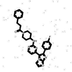 O=C(CCc1ccccc1)N1CCC(Nc2nccc(-c3c(-c4ccc(F)cc4)nc4occn34)n2)CC1